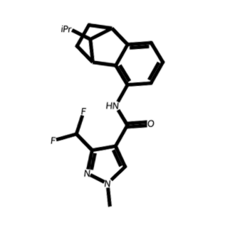 CC(C)C1C2CCC1c1c(NC(=O)c3cn(C)nc3C(F)F)cccc12